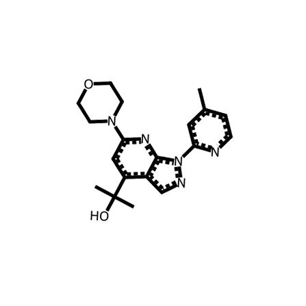 Cc1ccnc(-n2ncc3c(C(C)(C)O)cc(N4CCOCC4)nc32)c1